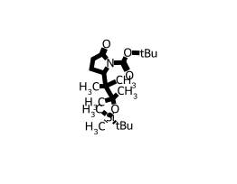 CC(C)(C)OC(=O)N1C(=O)CCC1C(C)(C)C(C)(C)O[Si](C)(C)C(C)(C)C